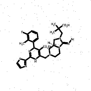 CCOC(=O)C1=C(CN2CCN3C(=NC(C)=O)N(CC(C)(C)C(=O)O)C[C@@H]3C2)NC(c2nccs2)=NC1c1cccc(F)c1C